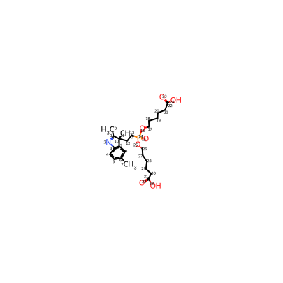 CC1=Nc2ccc(C)cc2C1(C)CCP(=O)(OCCCCCC(=O)O)OCCCCCC(=O)O